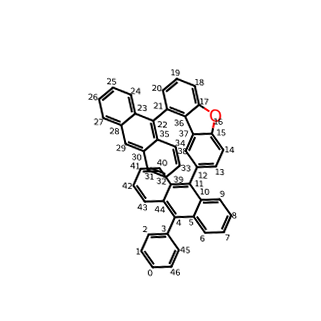 c1ccc(-c2c3ccccc3c(-c3ccc4oc5cccc(-c6c7ccccc7cc7ccccc67)c5c4c3)c3ccccc23)cc1